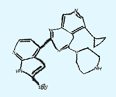 CC(C)(C)c1cc2c(-c3nc(N4CCNCC4)c4c(C5CC5)cncc4n3)ccnc2[nH]1